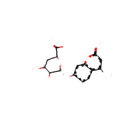 Cc1cc(=O)oc2cc(O[C@@H]3OC(C(=O)O)[C@@H](O)C(O)C3O)ccc12